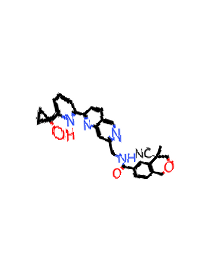 C[C@@]1(C#N)COCc2ccc(C(=O)NCc3cc4nc(-c5cccc(C6(O)CC6)n5)ccc4cn3)cc21